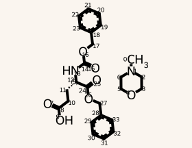 CN1CCOCC1.O=C(O)CC[C@H](NC(=O)OCc1ccccc1)C(=O)OCc1ccccc1